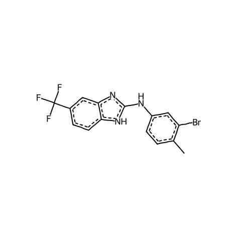 Cc1ccc(Nc2nc3cc(C(F)(F)F)ccc3[nH]2)cc1Br